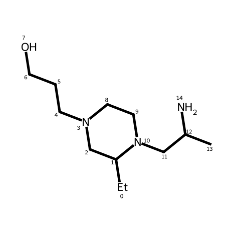 CCC1CN(CCCO)CCN1CC(C)N